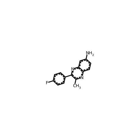 Cc1nc2ccc(N)cc2nc1-c1ccc(F)cc1